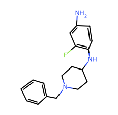 Nc1ccc(NC2CCN(Cc3ccccc3)CC2)c(F)c1